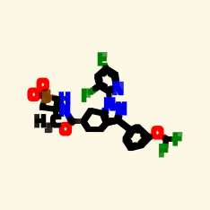 CC1(NC(=O)[C@@H]2CCc3c(-c4cccc(OC(F)F)c4)nn(-c4ncc(F)cc4F)c3C2)CS(=O)(=O)C1